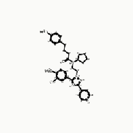 COc1ccc(CCCC(=O)N(CCn2nc(-c3ccncc3)nc2-c2ccc(OC)c(Cl)c2)C2CCCC2)cc1